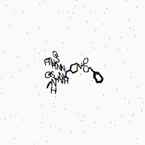 CCNC(N/N=C(\C(C)=N\NC(NCC)=S=O)C1CCN(C(=O)OCc2ccccc2)CC1)=S=O